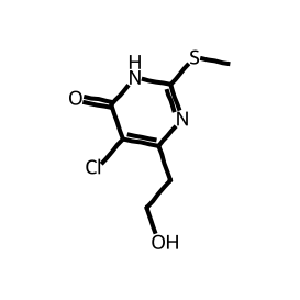 CSc1nc(CCO)c(Cl)c(=O)[nH]1